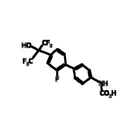 O=C(O)Nc1ccc(-c2ccc(C(O)(C(F)(F)F)C(F)(F)F)cc2F)cc1